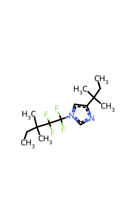 CCC(C)(C)c1cn(C(F)(F)C(F)(F)C(C)(C)CC)cn1